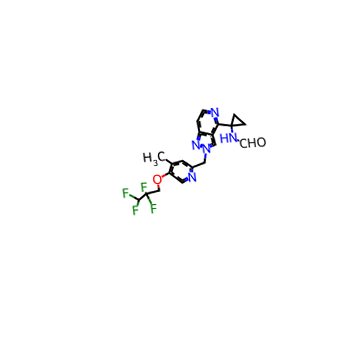 Cc1cc(Cn2cc3c(C4(NC=O)CC4)nccc3n2)ncc1OCC(F)(F)C(F)F